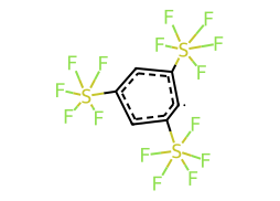 FS(F)(F)(F)(F)c1[c]c(S(F)(F)(F)(F)F)cc(S(F)(F)(F)(F)F)c1